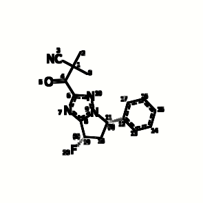 CC(C)(C#N)C(=O)c1nc2n(n1)[C@H](c1ccccc1)C[C@@H]2F